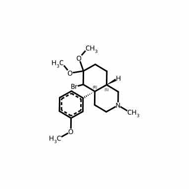 COc1cccc([C@@]23CCN(C)C[C@H]2CCC(OC)(OC)C3Br)c1